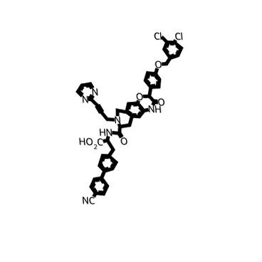 N#Cc1ccc(-c2ccc(CC(NC(=O)C3Cc4cc5c(cc4CN3CC#Cc3ncccn3)OC(c3ccc(OCc4ccc(Cl)c(Cl)c4)cc3)C(=O)N5)C(=O)O)cc2)cc1